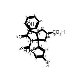 NC(=S)N(C(=O)c1ccccc1)C1(c2cc(Br)cs2)CN(C(=O)O)CC1CO